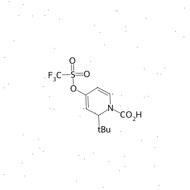 CC(C)(C)C1[C]=C(OS(=O)(=O)C(F)(F)F)C=[C]N1C(=O)O